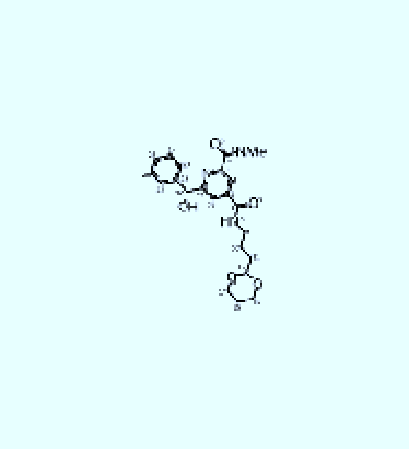 CNC(=O)c1cc(C(=O)NCCCC2OCCCO2)cc([C@H](O)c2ccccc2)n1